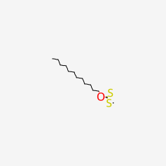 CCCCCCCCCCCCOC([S])=S